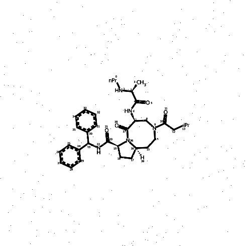 CCCN[C@@H](C)C(=O)N[C@H]1CN(C(=O)CC(C)C)CC[C@H]2CC[C@@H](C(=O)NC(c3ccccc3)c3ccccc3)N2C1=O